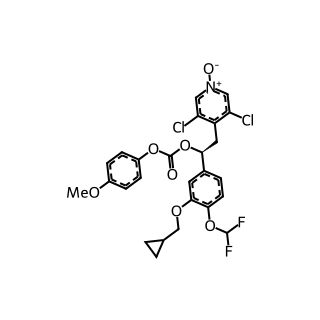 COc1ccc(OC(=O)O[C@@H](Cc2c(Cl)c[n+]([O-])cc2Cl)c2ccc(OC(F)F)c(OCC3CC3)c2)cc1